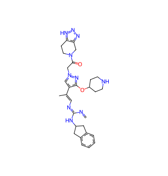 C=N/C(=N\C=C(/C)c1cn(CC(=O)N2CCc3[nH]nnc3C2)nc1OC1CCNCC1)NC1Cc2ccccc2C1